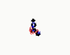 O=C([C@@H]1C[C@@H](Oc2ccccn2)CN1C(=O)O)N1CCCN(C2CCC2)CC1